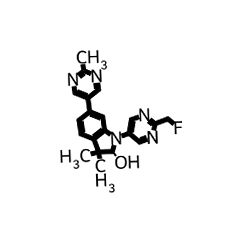 Cc1ncc(-c2ccc3c(c2)N(c2cnc(CF)nc2)[C@H](O)C3(C)C)cn1